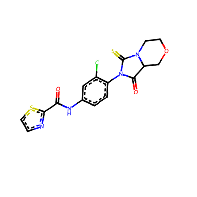 O=C(Nc1ccc(N2C(=O)C3COCCN3C2=S)c(Cl)c1)c1nccs1